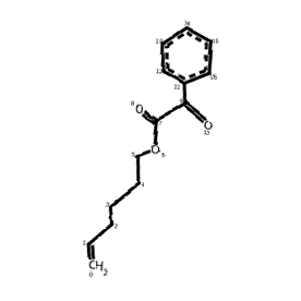 C=CCCCCOC(=O)C(=O)c1ccccc1